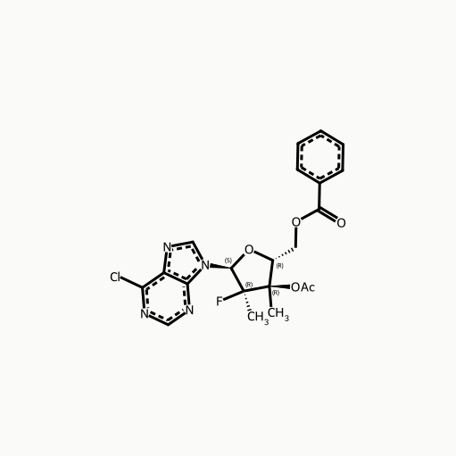 CC(=O)O[C@]1(C)[C@@H](COC(=O)c2ccccc2)O[C@H](n2cnc3c(Cl)ncnc32)[C@]1(C)F